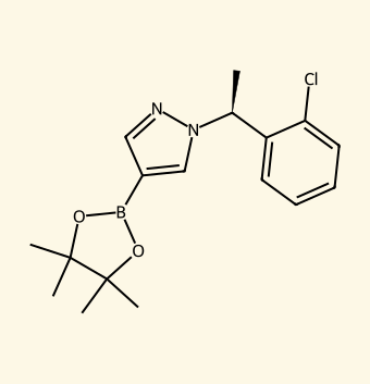 C[C@@H](c1ccccc1Cl)n1cc(B2OC(C)(C)C(C)(C)O2)cn1